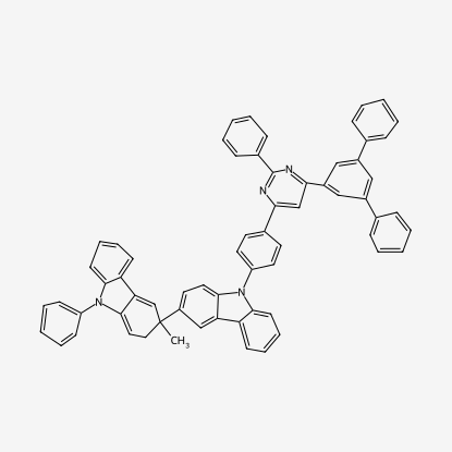 CC1(c2ccc3c(c2)c2ccccc2n3-c2ccc(-c3cc(-c4cc(-c5ccccc5)cc(-c5ccccc5)c4)nc(-c4ccccc4)n3)cc2)C=c2c(n(-c3ccccc3)c3ccccc23)=CC1